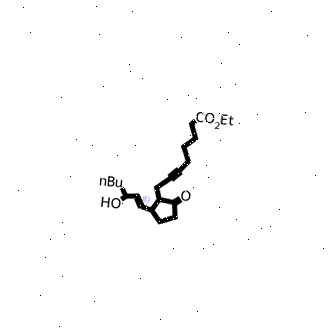 CCCCC(O)/C=C/C1CCC(=O)C1CC#CCCCCC(=O)OCC